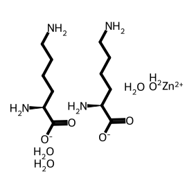 NCCCC[C@H](N)C(=O)[O-].NCCCC[C@H](N)C(=O)[O-].O.O.O.O.[Zn+2]